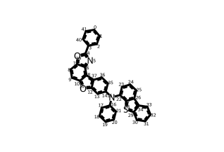 c1ccc(-c2nc3c(ccc4oc5cc(N(c6ccccc6)c6cccc7c6sc6ccccc67)ccc5c43)o2)cc1